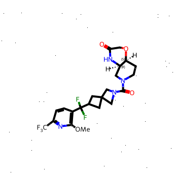 COc1nc(C(F)(F)F)ccc1C(F)(F)C1CC2(C1)CN(C(=O)N1CC[C@@H]3OCC(=O)N[C@@H]3C1)C2